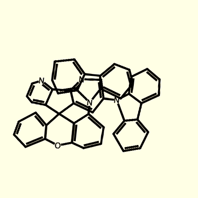 c1ccc2c(c1)Oc1cccc(-n3c4ccccc4c4ccccc43)c1C21c2cccnc2-c2ncc(-n3c4ccccc4c4ccccc43)cc21